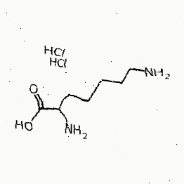 Cl.Cl.NCCCCCC(N)C(=O)O